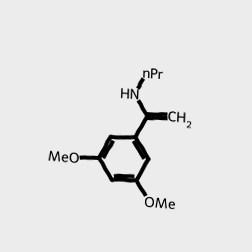 C=C(NCCC)c1cc(OC)cc(OC)c1